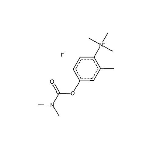 Cc1cc(OC(=O)N(C)C)ccc1[N+](C)(C)C.[I-]